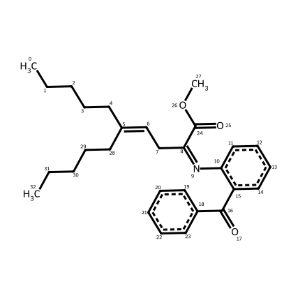 CCCCCC(=CCC(=Nc1ccccc1C(=O)c1ccccc1)C(=O)OC)CCCCC